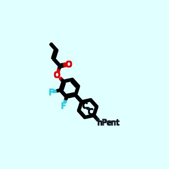 CC=CC(=O)Oc1ccc(C23CCC(CCCCC)(CC2)CC3)c(F)c1F